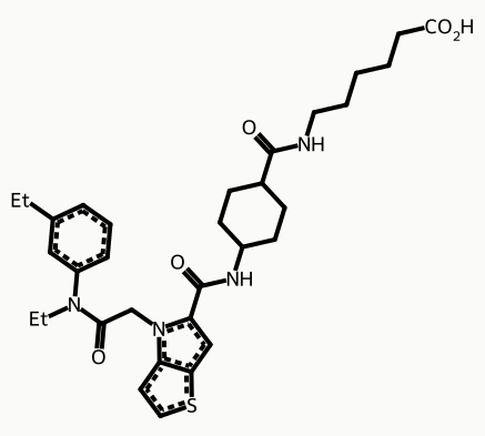 CCc1cccc(N(CC)C(=O)Cn2c(C(=O)NC3CCC(C(=O)NCCCCCC(=O)O)CC3)cc3sccc32)c1